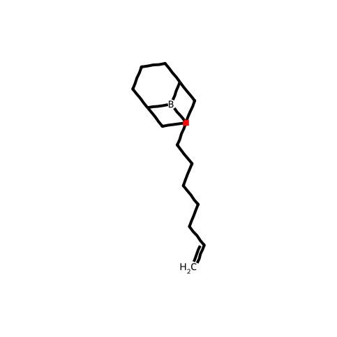 C=CCCCCCCB1C2CCCC1CCC2